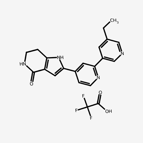 CCc1cncc(-c2cc(-c3cc4c([nH]3)CCNC4=O)ccn2)c1.O=C(O)C(F)(F)F